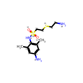 Cc1cc(N)cc(C)c1NS(=O)(=O)CCSCCN